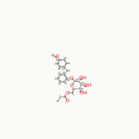 CCC(=O)OC[C@H]1O[C@H](Oc2ccccc2Cc2ccc(OC)cc2)[C@H](O)[C@@H](O)[C@@H]1O